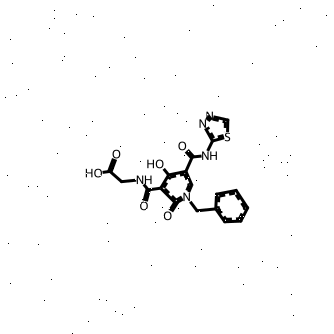 O=C(O)CNC(=O)c1c(O)c(C(=O)Nc2nncs2)cn(Cc2ccccc2)c1=O